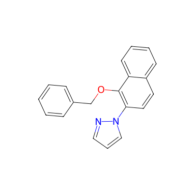 c1ccc(COc2c(-n3cccn3)ccc3ccccc23)cc1